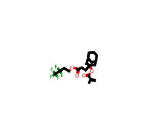 C=C(C)C(=O)OC1(CCC(=O)OCCC(F)(F)C(F)(F)F)CC2CCCC(C2)C1